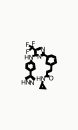 O=C(/C=C/c1cccc(-c2ncc(C(F)(F)F)c(Nc3ccc(-c4cn[nH]c4)cc3)n2)c1)NC1CC1